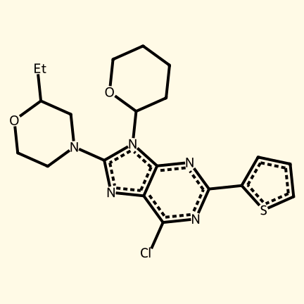 CCC1CN(c2nc3c(Cl)nc(-c4cccs4)nc3n2C2CCCCO2)CCO1